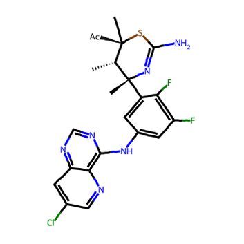 CC(=O)[C@@]1(C)SC(N)=N[C@](C)(c2cc(Nc3ncnc4cc(Cl)cnc34)cc(F)c2F)[C@@H]1C